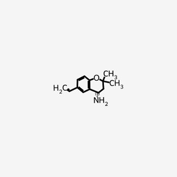 C=Cc1ccc2c(c1)[C@@H](N)CC(C)(C)O2